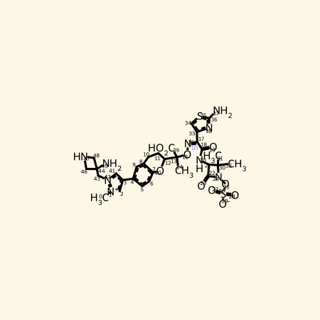 C[n+]1cc(-c2ccc3c(c2)CCC(C(C)(O/N=C(\C(=O)NC2C(=O)N(OS(=O)(=O)[O-])C2(C)C)c2csc(N)n2)C(=O)O)O3)cn1CC1(N)CNC1